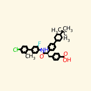 Cc1cc(Cl)ccc1-c1ccc(NC(=O)[C@H](Cc2ccc(C(=O)O)cc2)c2ccc(C3=CCC(C(C)(C)C)CC3)cc2)c(F)c1